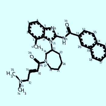 Cc1cccc2nc(NC(=O)c3ccc4ccccc4c3)n(C3CCCCN(C(=O)C=CCN(C)C)C3)c12